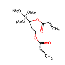 C=CC(=O)OCCC(OC(=O)C=C)[Si](OC)(OC)OC